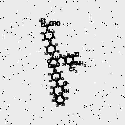 CCOC(C=O)N1CCN(C2CCN(C(=O)[C@@H](Cc3cc(Cl)c(N)c(C(F)(F)F)c3)OC(=O)N3CCC(N4CCc5ccccc5NC4=O)CC3)CC2)CC1